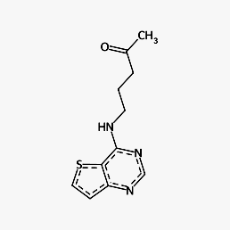 CC(=O)CCCNc1ncnc2ccsc12